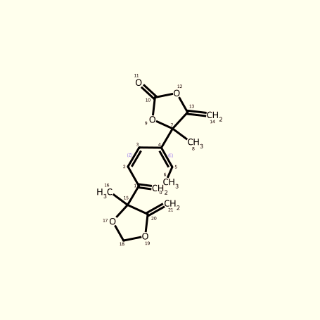 C=C(/C=C\C(=C/C)C1(C)OC(=O)OC1=C)C1(C)OCOC1=C